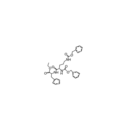 CCOC(=O)C(Cc1ccccc1)NC(=O)C(CCCNC(=O)OCc1ccccc1)NC(=O)OCc1ccccc1